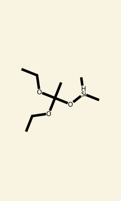 CCOC(C)(OCC)O[SiH](C)C